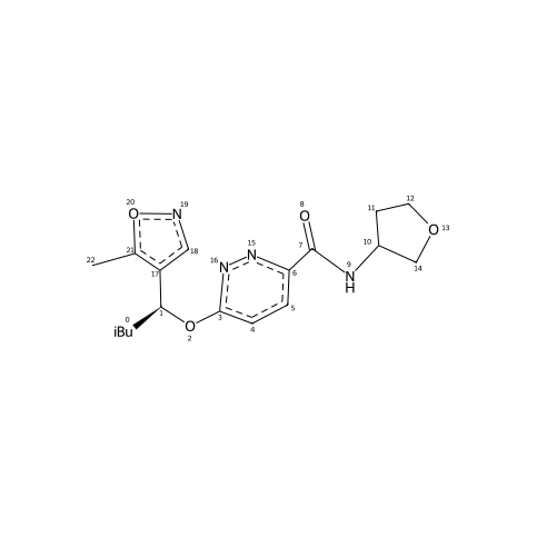 CCC(C)[C@H](Oc1ccc(C(=O)NC2CCOC2)nn1)c1cnoc1C